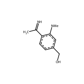 CNc1cc(CO)ccc1C(C)=N